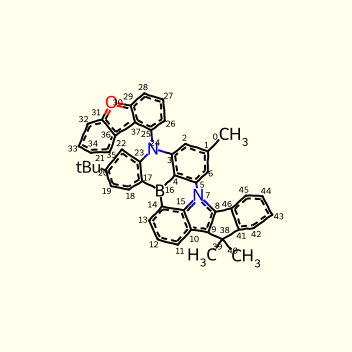 Cc1cc2c3c(c1)-n1c4c(c5cccc(c51)B3c1ccc(C(C)(C)C)cc1N2c1cccc2oc3ccccc3c12)C(C)(C)c1ccccc1-4